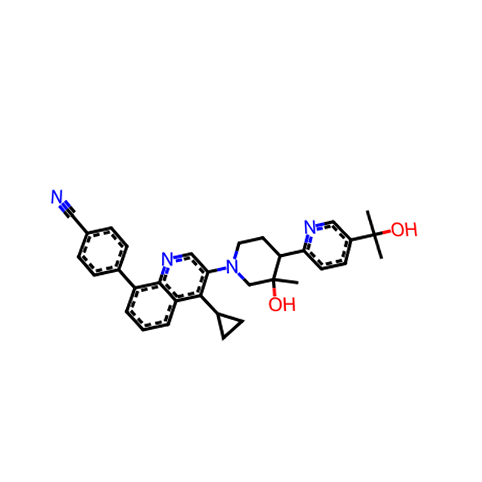 CC(C)(O)c1ccc(C2CCN(c3cnc4c(-c5ccc(C#N)cc5)cccc4c3C3CC3)CC2(C)O)nc1